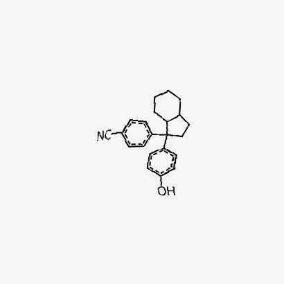 N#Cc1ccc(C2(c3ccc(O)cc3)CCC3CCCCC32)cc1